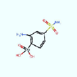 Nc1cc(S(N)(=O)=O)ccc1[As](=O)(O)O